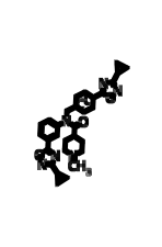 CN1CCC(C(=O)N(CC23CCC(c4nc(C5CC5)no4)(CC2)CC3)c2cccc(-c3nc(C4CC4)no3)c2)CC1